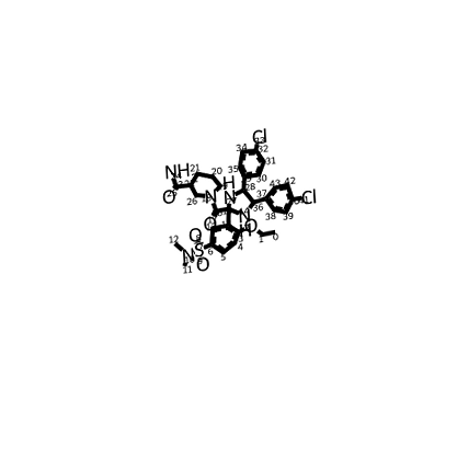 CCOc1ccc(S(=O)(=O)N(C)C)cc1C1(C(=O)N2CCCC(C(N)=O)C2)NC(c2ccc(Cl)cc2)C(c2ccc(Cl)cc2)N1